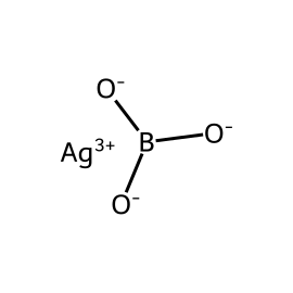 [Ag+3].[O-]B([O-])[O-]